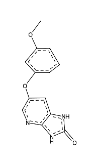 COc1cccc(Oc2cnc3[nH]c(=O)[nH]c3c2)c1